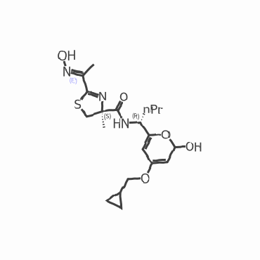 CCC[C@@H](NC(=O)[C@@]1(C)CSC(/C(C)=N/O)=N1)C1=CC(OCC2CC2)=CC(O)O1